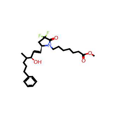 COC(=O)CCCCCCN1C(=O)C(F)(F)C[C@@H]1/C=C/[C@@H](O)C(C)CCCc1ccccc1